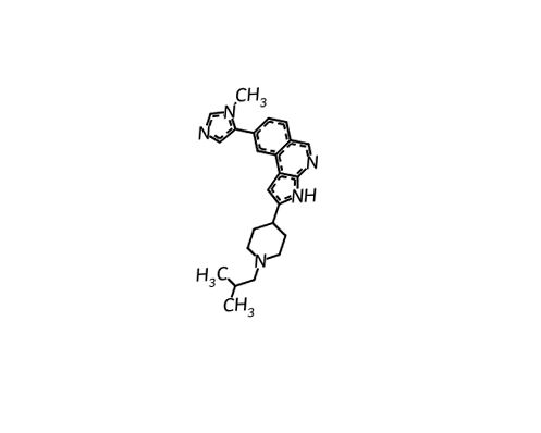 CC(C)CN1CCC(c2cc3c(ncc4ccc(-c5cncn5C)cc43)[nH]2)CC1